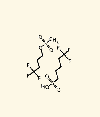 CS(=O)(=O)OCCCC(F)(F)F.O=S(=O)(O)CCCCC(F)(F)F